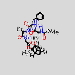 CC[C@H](NC(=O)[C@H](Cc1ccccc1)NC(=O)[C@@H](NC(=O)OC)C(C)C)C(=O)NCB1O[C@@H]2C[C@@H]3C[C@@H](C3(C)C)[C@]2(C)O1